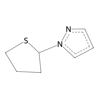 c1cnn(C2CCCS2)c1